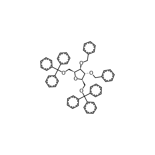 c1ccc(CO[C@H]2[C@H](OCc3ccccc3)[C@@H](COC(c3ccccc3)(c3ccccc3)c3ccccc3)O[C@H]2COC(c2ccccc2)(c2ccccc2)c2ccccc2)cc1